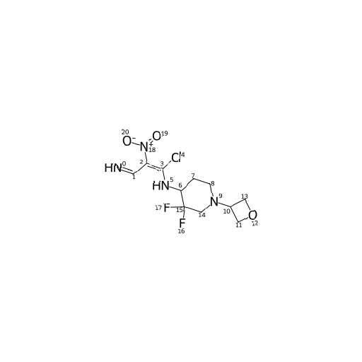 N=C/C(=C(/Cl)NC1CCN(C2COC2)CC1(F)F)[N+](=O)[O-]